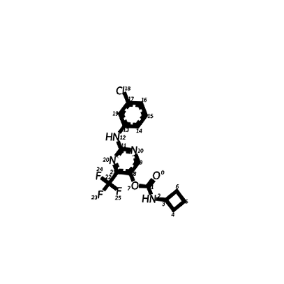 O=C(NC1CCC1)Oc1cnc(Nc2cccc(Cl)c2)nc1C(F)(F)F